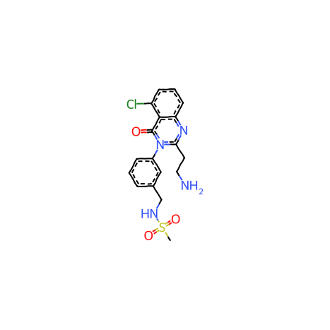 CS(=O)(=O)NCc1cccc(-n2c(CCN)nc3cccc(Cl)c3c2=O)c1